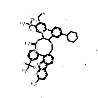 C=C1CC2C(CCc3ccc4c(oc5nc(C)ccc54)c3-c3cc(C(C)(CC)CC)cc[n+]31)c1cc(C3CCCCC3)ccc1-c1cc(CC(C)C)c([Si](C)(C)C)c[n+]12